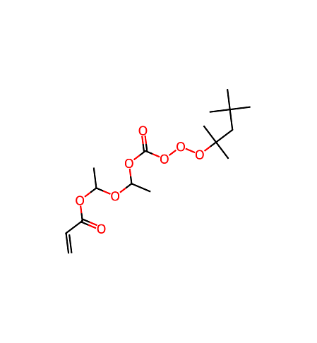 C=CC(=O)OC(C)OC(C)OC(=O)OOOC(C)(C)CC(C)(C)C